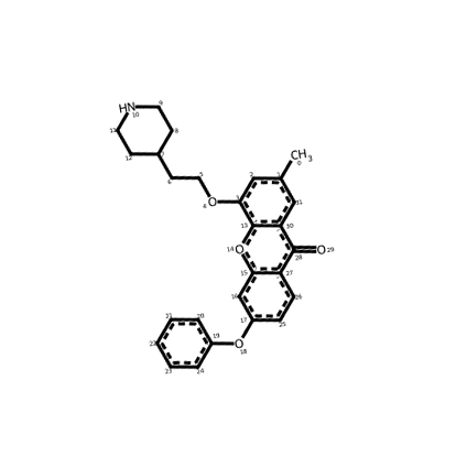 Cc1cc(OCCC2CCNCC2)c2oc3cc(Oc4ccccc4)ccc3c(=O)c2c1